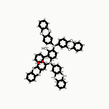 Oc1c(N(c2ccc3c(c2)Oc2ccccc2O3)c2ccc3c(c2)Oc2ccccc2O3)ccc(N(c2ccc3c(c2)Sc2ccccc2S3)c2ccc3c(c2)Sc2ccccc2S3)c1-c1ccccc1